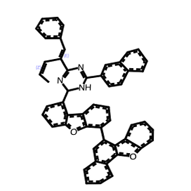 C/C=C\C(=C/c1ccccc1)C1=NC(c2cccc3oc4c(-c5cc6ccccc6c6oc7ccccc7c56)cccc4c23)NC(c2ccc3ccccc3c2)=N1